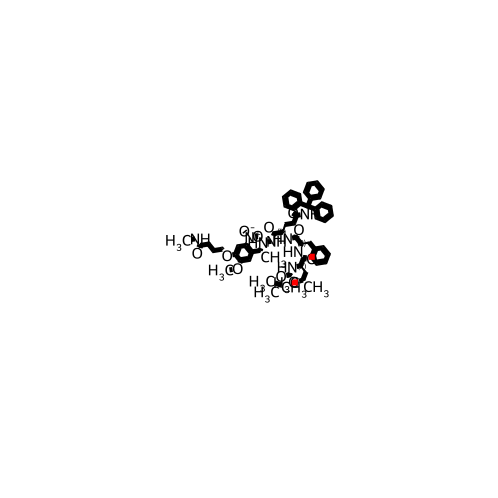 CNC(=O)CCCOc1cc([N+](=O)[O-])c(C(C)NNC(=O)[C@@H](CCC(=O)NC(c2ccccc2)(c2ccccc2)c2ccccc2)NC(=O)[C@@H](Cc2ccccc2)NC(=O)[C@@H](CC(C)C)NC(=O)OC(C)(C)C)cc1OC